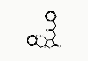 O=C(Cc1ccccc1)CC1C(=O)O[C@@H](Cc2ccccc2)N1C(=O)O